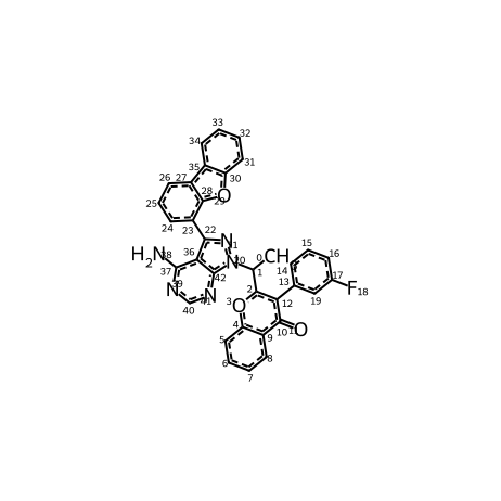 CC(c1oc2ccccc2c(=O)c1-c1cccc(F)c1)n1nc(-c2cccc3c2oc2ccccc23)c2c(N)ncnc21